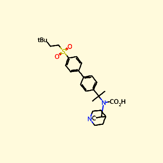 CC(C)(C)CCS(=O)(=O)c1ccc(-c2ccc(C(C)(C)N(C(=O)O)C3CN4CCC3CC4)cc2)cc1